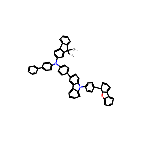 CC1(C)c2ccccc2-c2ccc(N(c3ccc(-c4ccccc4)cc3)c3ccc(-c4ccc5c(c4)c4ccccc4n5-c4ccc(C5C=CC=C6c7ccccc7OC65)cc4)cc3)cc21